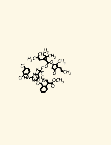 C=CCC1=C(C)C(OC(=O)C2C(C=C(C)C)C2(C)C)CC1=O.CO/C=C(/C(=O)OC)c1ccccc1COc1cc(C(F)(F)F)nc(Nc2ccc(Cl)cc2Cl)n1